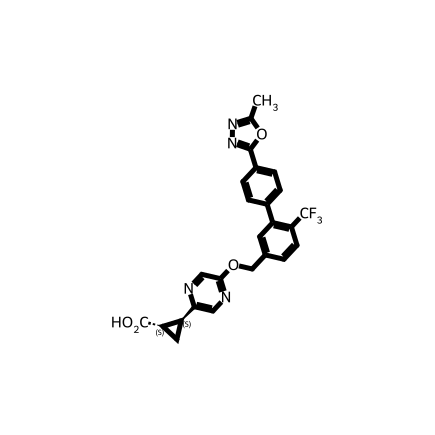 Cc1nnc(-c2ccc(-c3cc(COc4cnc([C@H]5C[C@@H]5C(=O)O)cn4)ccc3C(F)(F)F)cc2)o1